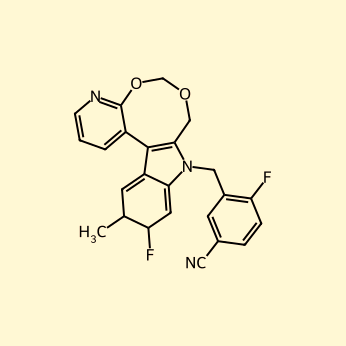 CC1C=c2c3c(n(Cc4cc(C#N)ccc4F)c2=CC1F)COCOc1ncccc1-3